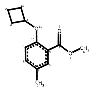 COC(=O)c1cc(C)ccc1OC1CCC1